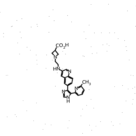 Cc1cccc(-c2[nH]cnc2-c2ccc3ncc(NCCN4CC(C(=O)O)C4)cc3c2)n1